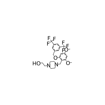 COc1cc(OC)c(CN2CCN(CCO)CC2)c(OCc2cc(C(F)(F)F)cc(C(F)(F)F)c2)c1